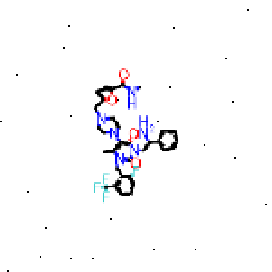 CNC(=O)c1ccc(CN2CCN(c3c(C)n(Cc4c(F)cccc4C(F)(F)F)c(=O)n(C[C@@H](N)c4ccccc4)c3=O)CC2)o1